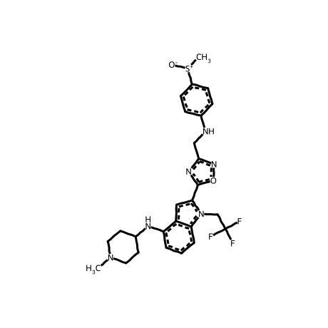 CN1CCC(Nc2cccc3c2cc(-c2nc(CNc4ccc([S+](C)[O-])cc4)no2)n3CC(F)(F)F)CC1